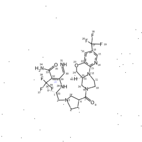 C[C@@H](CN1CCC(C(=O)N2CCN3c4ncc(C(F)(F)F)cc4OC[C@@H]3C2)C1)N/C(C=N)=C(/C(N)=O)C(F)(F)F